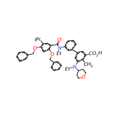 CCN(C(=O)c1cc(C(C)C)c(OCc2ccccc2)cc1OCc1ccccc1)c1cccc(-c2cc(C(=O)O)c(C)c(N(CC)C3CCOCC3)c2)c1